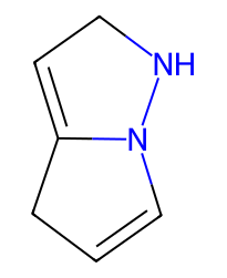 C1=CN2NCC=C2C1